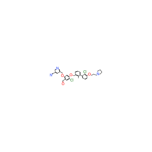 Cc1c(COc2cc(OCc3cncc(C#N)c3)c(C=O)cc2Cl)cccc1-c1cccc(OCCCN2CCCC2)c1Cl